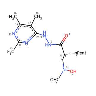 CCCCC[C@H](CN(O)C=O)C(=O)NNc1nc(C(F)(F)F)nc(C)c1C